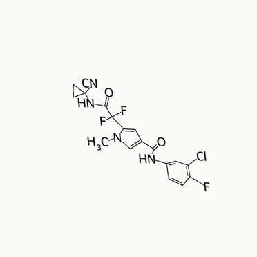 Cn1cc(C(=O)Nc2ccc(F)c(Cl)c2)cc1C(F)(F)C(=O)NC1(C#N)CC1